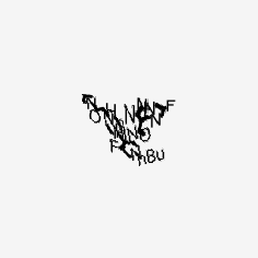 CCCCN1CC(F)C(N2CCN(CC(=O)N3CCC3)CC2)C(NC(=O)c2c(N)nn3cc(F)cnc23)C1